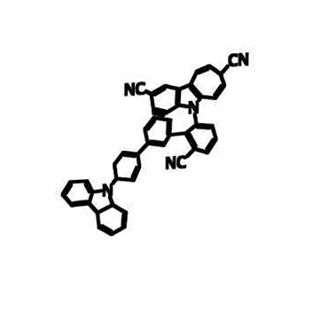 N#Cc1c#cc2c(c1)c1c(n2-c2cccc(C#N)c2-c2cccc(C3=CCC(N4c5ccccc5C5C=CC=CC54)C=C3)c2)C=CC(C#N)C=C1